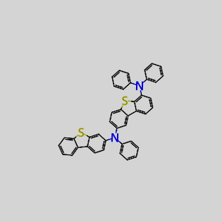 c1ccc(N(c2ccc3c(c2)sc2ccccc23)c2ccc3sc4c(N(c5ccccc5)c5ccccc5)cccc4c3c2)cc1